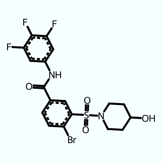 O=C(Nc1cc(F)c(F)c(F)c1)c1ccc(Br)c(S(=O)(=O)N2CCC(O)CC2)c1